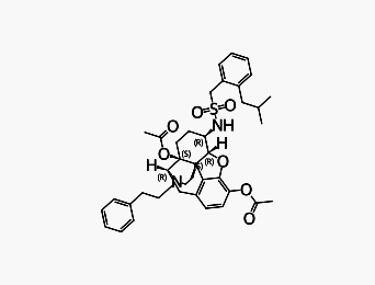 CC(=O)Oc1ccc2c3c1O[C@H]1[C@H](NS(=O)(=O)Cc4ccccc4CC(C)C)CC[C@@]4(OC(C)=O)[C@@H](C2)N(CCc2ccccc2)CC[C@]314